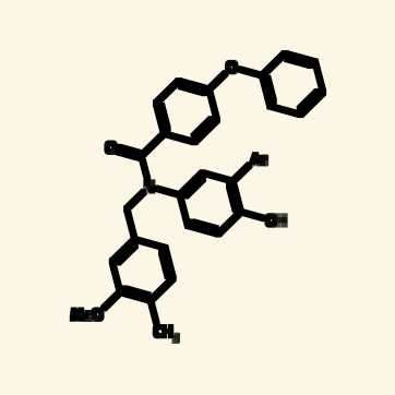 COc1cc(CN(C(=O)c2ccc(Oc3ccccc3)cc2)c2ccc(O)c(C(C)=O)c2)ccc1C